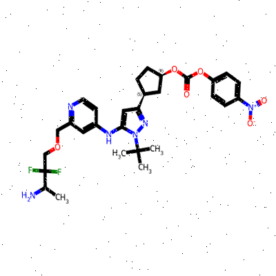 CC(N)C(F)(F)COCc1cc(Nc2cc([C@H]3CC[C@@H](OC(=O)Oc4ccc([N+](=O)[O-])cc4)C3)nn2C(C)(C)C)ccn1